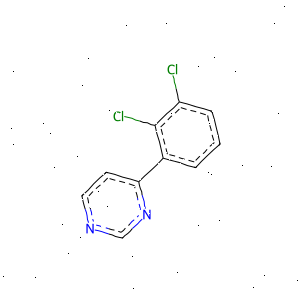 Clc1cccc(-c2ccncn2)c1Cl